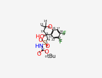 CC(C)(C)OC(=O)NS(=O)(=O)CC1(O)CC(C)(C)Oc2cc(F)c(F)cc21